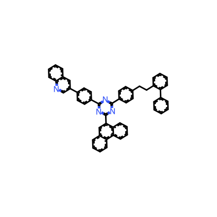 c1ccc(-c2ccccc2CCc2ccc(-c3nc(-c4ccc(-c5cnc6ccccc6c5)cc4)nc(-c4cc5ccccc5c5ccccc45)n3)cc2)cc1